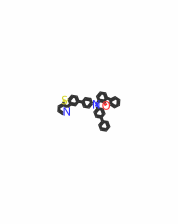 c1ccc(-c2ccc(N(c3ccc(-c4ccc5sc6cccnc6c5c4)cc3)c3cccc4c3oc3ccccc34)cc2)cc1